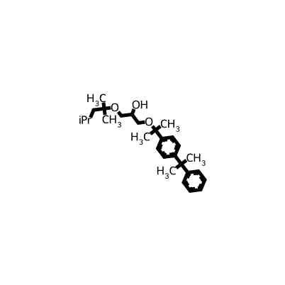 CC(C)CC(C)(C)OCC(O)COC(C)(C)c1ccc(C(C)(C)c2ccccc2)cc1